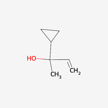 C=CC(C)(O)C1CC1